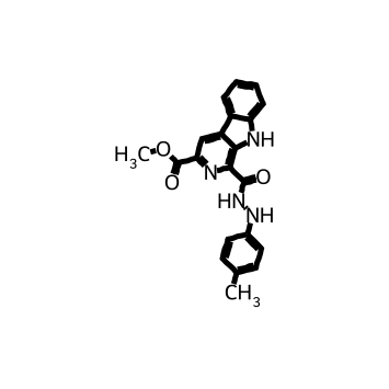 COC(=O)c1cc2c([nH]c3ccccc32)c(C(=O)NNc2ccc(C)cc2)n1